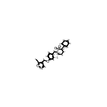 Cc1oncc1COc1ccc(CN2[C@@H](C)CCC(c3ccccc3)S2(=O)=O)cc1